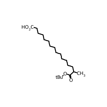 CC(CCCCCCCCCCCCCC(=O)O)C(=O)OC(C)(C)C